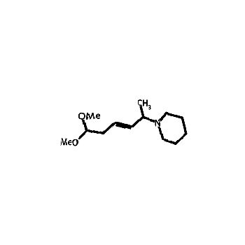 COC(CC=CC(C)N1CCCCC1)OC